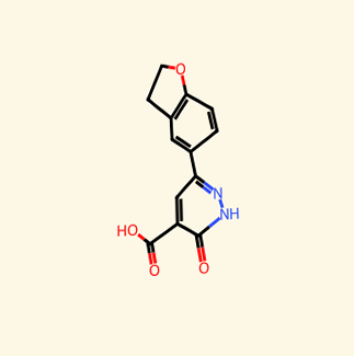 O=C(O)c1cc(-c2ccc3c(c2)CCO3)n[nH]c1=O